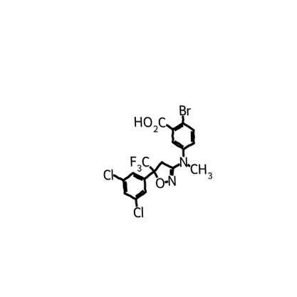 CN(C1=NOC(c2cc(Cl)cc(Cl)c2)(C(F)(F)F)C1)c1ccc(Br)c(C(=O)O)c1